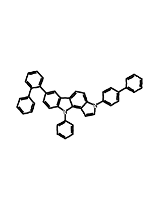 c1ccc(-c2ccc(-n3ccc4c3ccc3c5cc(-c6ccccc6-c6ccccc6)ccc5n(-c5ccccc5)c34)cc2)cc1